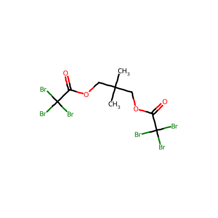 CC(C)(COC(=O)C(Br)(Br)Br)COC(=O)C(Br)(Br)Br